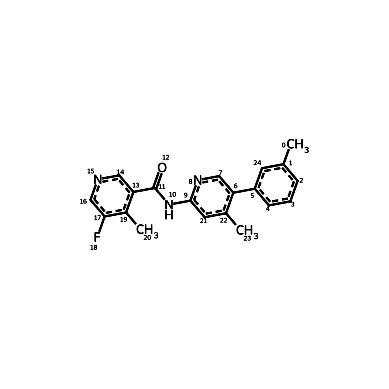 Cc1cccc(-c2cnc(NC(=O)c3cncc(F)c3C)cc2C)c1